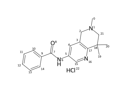 CN1Cc2cc(NC(=O)c3ccccc3)cnc2C(C)(C)C1.Cl